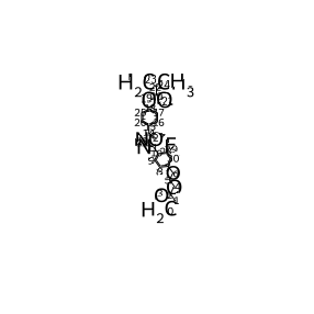 C=CC(=O)OCOc1ccc(-c2nnc(-c3ccc(OC(=O)C(=C)C)cc3)o2)c(F)c1